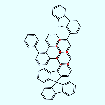 c1ccc(-c2ccccc2-c2c(-c3ccccc3)cccc2N(c2ccc(-c3cccc4c3oc3ccccc34)cc2)c2cccc3c2-c2ccccc2C32c3ccccc3-c3ccccc32)cc1